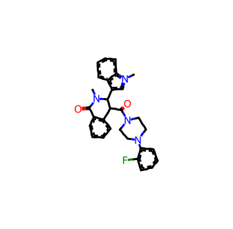 CN1C(=O)c2ccccc2C(C(=O)N2CCN(c3ccccc3F)CC2)C1c1cn(C)c2ccccc12